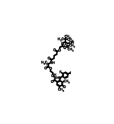 Cc1cc(C(=O)NOCCOC(=O)[C@H](C)NC(=O)CCCC(=O)OCC(OC(CO)C(C)(C)C)OC(C)(C)C)c(Nc2ccc(I)cc2F)n(C)c1=O